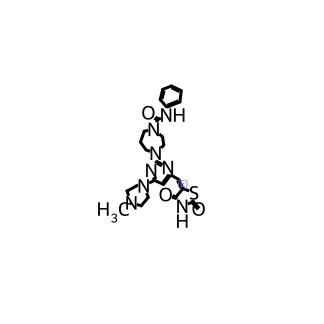 CN1CCN(c2cc(/C=C3/SC(=O)NC3=O)nc(N3CCCN(C(=O)Nc4ccccc4)CC3)n2)CC1